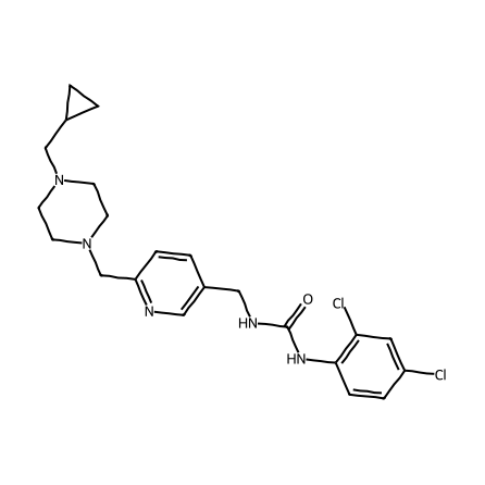 O=C(NCc1ccc(CN2CCN(CC3CC3)CC2)nc1)Nc1ccc(Cl)cc1Cl